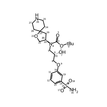 CC(C)(C)OC(=O)N(C[C@H](O)COc1cccc(S(N)(=O)=O)c1)[C@H]1COC2(CCNCC2)C1